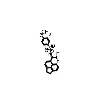 COc1ccc(S(=O)(=O)O/N=C(/c2ccc3c4c(cccc24)CC3)C(F)F)cc1